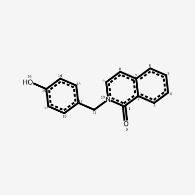 O=c1c2ccccc2ccn1Cc1ccc(O)cc1